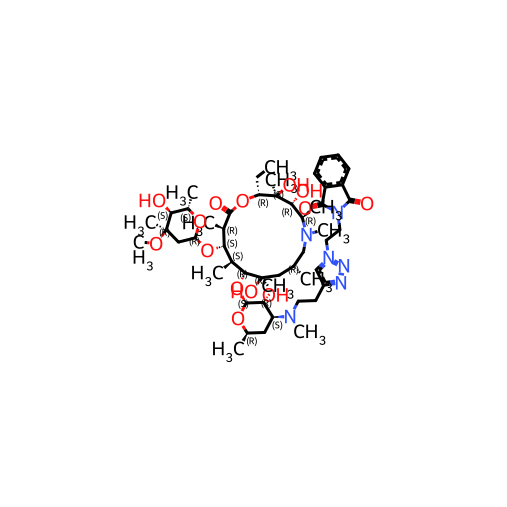 CC[C@H]1OC(=O)[C@H](C)[C@@H](O[C@H]2C[C@@](C)(OC)[C@@H](O)[C@H](C)O2)[C@H](C)[C@@H](O[C@@H]2O[C@H](C)C[C@H](N(C)CCc3cn(CCN4C(=O)c5ccccc5C4=O)nn3)[C@H]2O)[C@](C)(O)C[C@@H](C)CN(C)[C@H](C)[C@@H](O)[C@]1(C)O